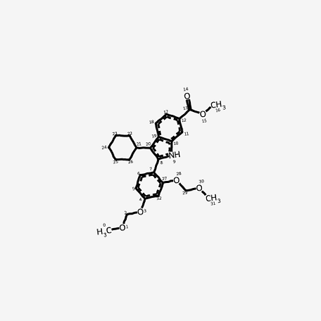 COCOc1ccc(-c2[nH]c3cc(C(=O)OC)ccc3c2C2CCCCC2)c(OCOC)c1